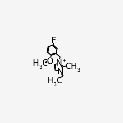 CCn1cc[n+](Cc2cc(F)ccc2OC)c1C